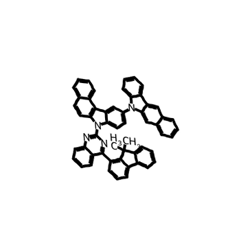 CC1(C)c2ccccc2-c2cccc(-c3nc(-n4c5ccc(-n6c7ccccc7c7cc8ccccc8cc76)cc5c5c6ccccc6ccc54)nc4ccccc34)c21